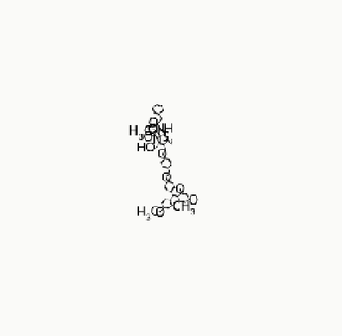 COc1ccc(-c2c3ccc(=O)cc-3oc3cc(OCc4ccc(OCC5=C(CO)N6C(=O)[C@](NC(=O)Cc7ccccc7)(OC)[C@H]6SC56CC6)cc4)ccc23)c(C)c1